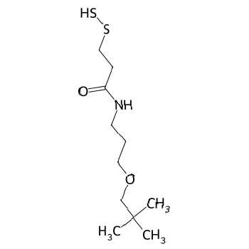 CC(C)(C)COCCCNC(=O)CCSS